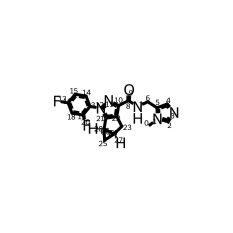 Cn1cncc1CNC(=O)c1nn(-c2ccc(F)cc2F)c2c1C[C@H]1C[C@@H]21